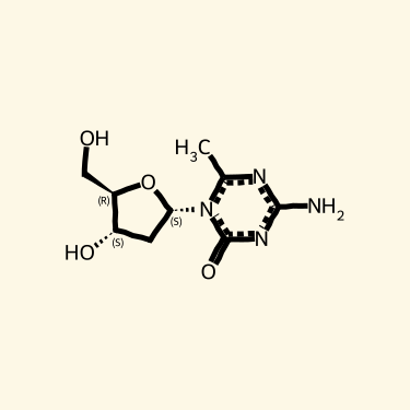 Cc1nc(N)nc(=O)n1[C@@H]1C[C@H](O)[C@@H](CO)O1